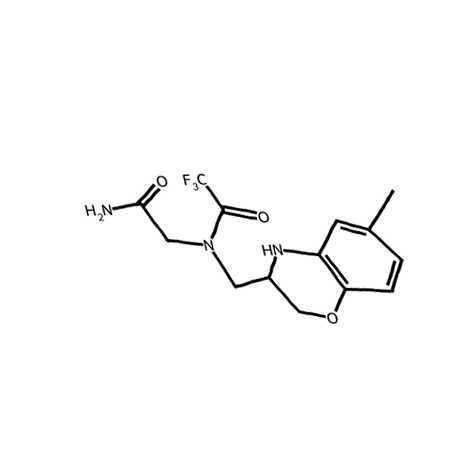 Cc1ccc2c(c1)NC(CN(CC(N)=O)C(=O)C(F)(F)F)CO2